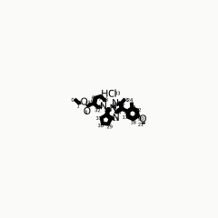 CCOC(=O)C1=CCCN(c2c3c(nc4c(-c5ccc(OC)cc5C)c(C)nn24)CCC3)C1.Cl